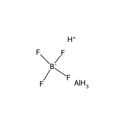 F[B-](F)(F)F.[AlH3].[H+]